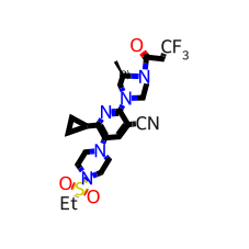 CCS(=O)(=O)N1CCN(c2cc(C#N)c(N3CCN(C(=O)CC(F)(F)F)[C@H](C)C3)nc2C2CC2)CC1